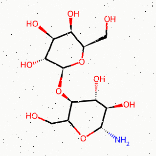 N[C@@H]1OC(CO)[C@@H](O[C@@H]2O[C@H](CO)[C@H](O)[C@H](O)[C@H]2O)[C@H](O)[C@H]1O